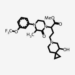 COC(=O)C(CCN1CCC2(CC2)C(O)C1)N1CCN(c2cccc(OC(F)(F)F)c2)C(C)C1=O